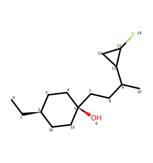 CC[C@H]1CC[C@](O)(CCC(C)C2CC2F)CC1